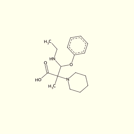 CCNC(Oc1ccccc1)C(C)(C(=O)O)N1CCCCC1